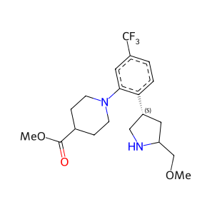 COCC1C[C@@H](c2ccc(C(F)(F)F)cc2N2CCC(C(=O)OC)CC2)CN1